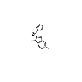 Cc1ccc2c(c1)C=[C]([Zr][CH]1C=CC=C1)C2C